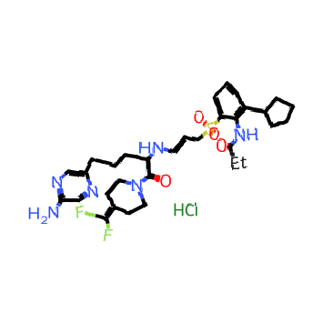 CCC(=O)Nc1c(C2CCCC2)cccc1S(=O)(=O)CC=CNC(CCCc1cnc(N)cn1)C(=O)N1CCC(=C(F)F)CC1.Cl